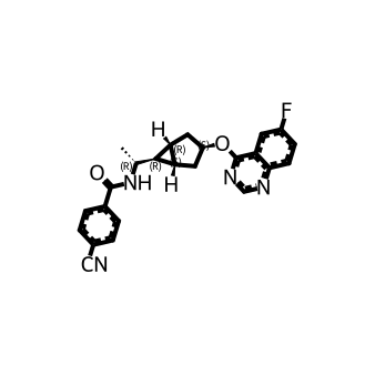 C[C@@H](NC(=O)c1ccc(C#N)cc1)[C@H]1[C@@H]2C[C@@H](Oc3ncnc4ccc(F)cc34)C[C@@H]21